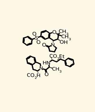 CC1(C)Oc2ccc(S(=O)(=O)c3ccccc3)cc2[C@@H](N2CCCC2=O)[C@@H]1O.CCOC(=O)[C@H](CCc1ccccc1)N[C@@H](C)C(=O)N1Cc2ccccc2C[C@H]1C(=O)O